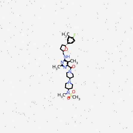 Cc1nc(NC[C@H]2CC[C@H](c3ccc(F)c(C)c3)O2)c(C)c(C(=O)N2CCC(N3CCC(N(C)S(C)(=O)=O)CC3)CC2)n1